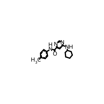 Cc1ccc(NC(=O)c2cc(NC3CCCCC3)ncn2)cc1